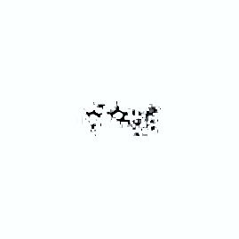 Nc1nc2c(ncn2C2=C(F)[C@H](O)[C@@](F)(COP(=O)(O)OP(=O)(O)OP(=O)(O)O)O2)c(=O)[nH]1